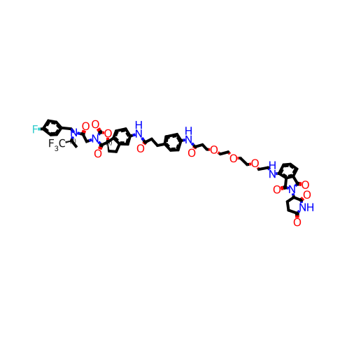 C[C@H](N(Cc1ccc(F)cc1)C(=O)CN1C(=O)O[C@@]2(CCc3cc(NC(=O)CCc4ccc(NC(=O)CCOCCOCCOCCNc5cccc6c5C(=O)N(C5CCC(=O)NC5=O)C6=O)cc4)ccc32)C1=O)C(F)(F)F